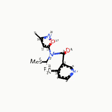 CSCN(C(=O)c1cnccc1C(F)(F)F)c1cc(C)no1